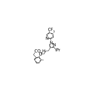 Cc1cccc(CC(=O)O)c1OCCCc1cn(-c2ccc(C(F)(F)F)cn2)nc1C(C)C